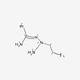 CC(C)/C(N)=N/N(N)CCF